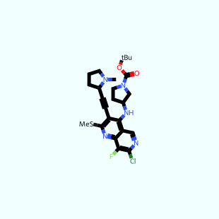 CSc1nc2c(F)c(Cl)ncc2c(NC2CCN(C(=O)OC(C)(C)C)C2)c1C#CC1CCCN1C